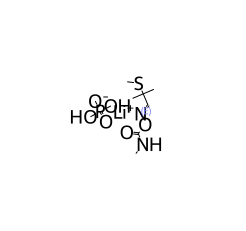 CNC(=O)O/N=C/C(C)(C)SC.O=P([O-])(O)O.[Li+]